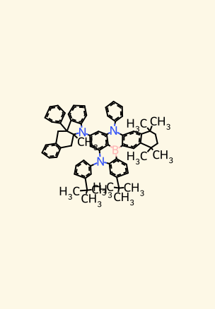 CC(C)(C)c1cccc(N2c3cc(C(C)(C)C)ccc3B3c4cc5c(cc4N(c4ccccc4)c4cc(N6c7ccccc7C7(c8ccccc8)Cc8ccccc8CC67C)cc2c43)C(C)(C)CCC5(C)C)c1